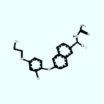 CCCOc1ccc(Oc2ccc3cc(C(C)NC(C)=O)ccc3c2)c(Cl)c1